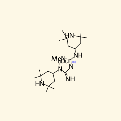 CCCCN(C(=N)/N=C(\NC)NC1CC(C)(C)NC(C)(C)C1)C1CC(C)(C)NC(C)(C)C1